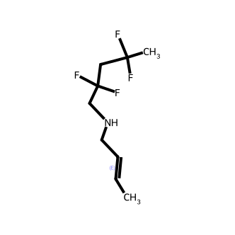 C/C=C/CNCC(F)(F)CC(C)(F)F